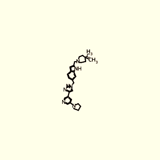 CC1(C)CCN(Cc2cc3ccc(Cn4cc(-c5cncc(N6CCCC6)c5)nn4)cc3[nH]2)CC1